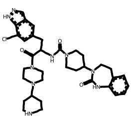 O=C(NC(Cc1cc(Cl)c2[nH]ncc2c1)C(=O)N1CCN(C2CCNCC2)CC1)N1CCC(N2CCc3ccccc3NC2=O)CC1